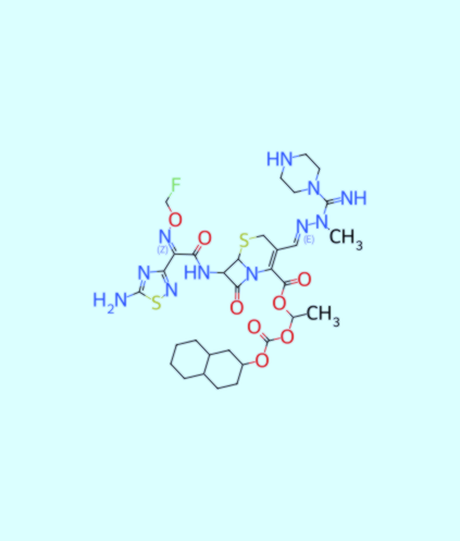 CC(OC(=O)OC1CCC2CCCCC2C1)OC(=O)C1=C(/C=N/N(C)C(=N)N2CCNCC2)CSC2C(NC(=O)/C(=N\OCF)c3nsc(N)n3)C(=O)N12